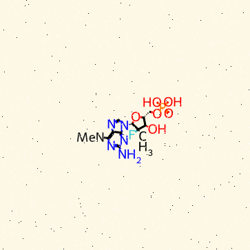 CNc1nc(N)nc2c1ncn2[C@@H]1O[C@H](COP(=O)(O)O)[C@@H](O)[C@@]1(C)F